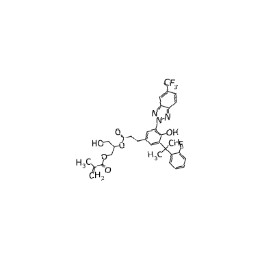 C=C(C)C(=O)OCC(CO)OC(=O)CCc1cc(-n2nc3ccc(C(F)(F)F)cc3n2)c(O)c(C(C)(C)c2ccccc2F)c1